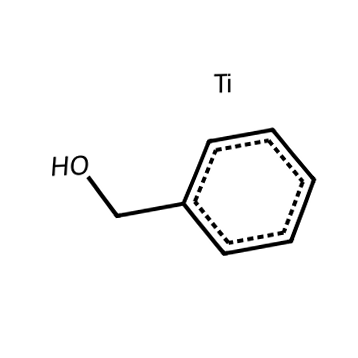 OCc1ccccc1.[Ti]